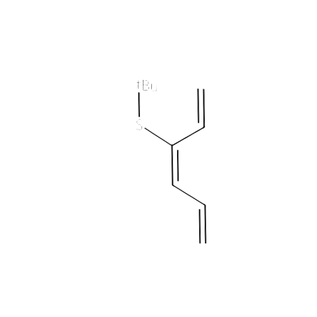 C=C/C=C(\C=C)SC(C)(C)C